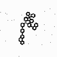 c1ccc(C2(c3ccccc3)c3ccccc3-c3c(N(c4ccc(-c5cccc6ccccc56)cc4)c4cccc(-c5ccc(-c6ccc7c(ccc8ccccc87)c6)cc5)c4)cccc32)cc1